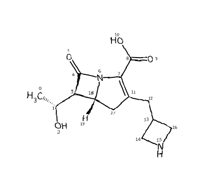 C[C@@H](O)[C@H]1C(=O)N2C(C(=O)O)=C(CC3CNC3)C[C@H]12